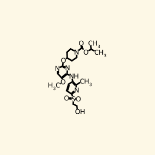 COc1cnc(OC2CCN(C(=O)OC(C)C)CC2)nc1Nc1ccc(S(=O)(=O)CCO)nc1C